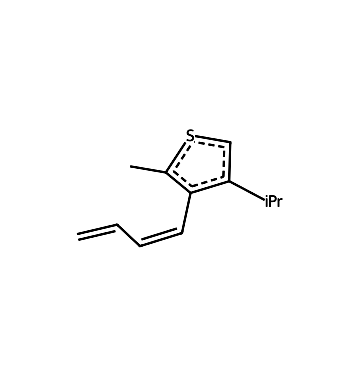 C=C/C=C\c1c(C(C)C)csc1C